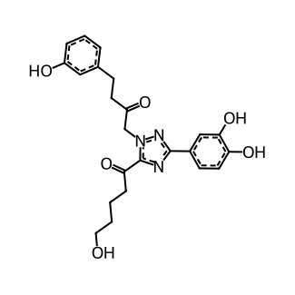 O=C(CCc1cccc(O)c1)Cn1nc(-c2ccc(O)c(O)c2)nc1C(=O)CCCCO